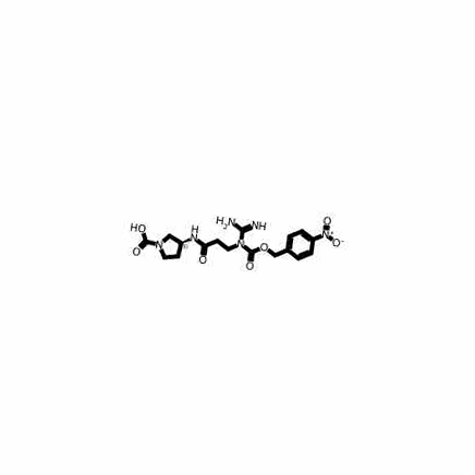 N=C(N)N(CCC(=O)N[C@H]1CCN(C(=O)O)C1)C(=O)OCc1ccc([N+](=O)[O-])cc1